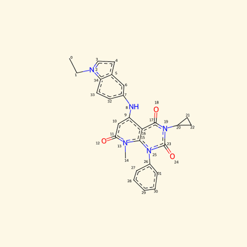 CCn1ccc2cc(Nc3cc(=O)n(C)c4c3c(=O)n(C3CC3)c(=O)n4-c3ccccc3)ccc21